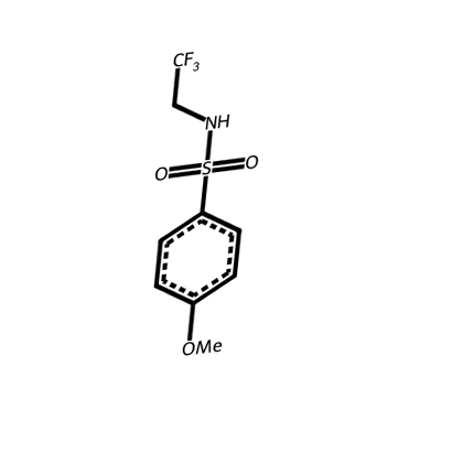 COc1ccc(S(=O)(=O)NCC(F)(F)F)cc1